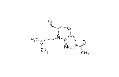 CC(=O)c1cnc2c(c1)OC[C@H](C=O)N2CCN(C)C